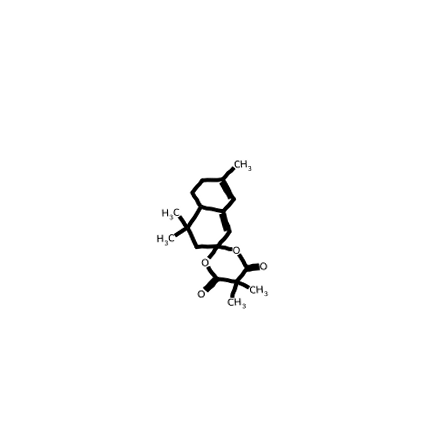 CC1=CC2=CC3(CC(C)(C)C2CC1)OC(=O)C(C)(C)C(=O)O3